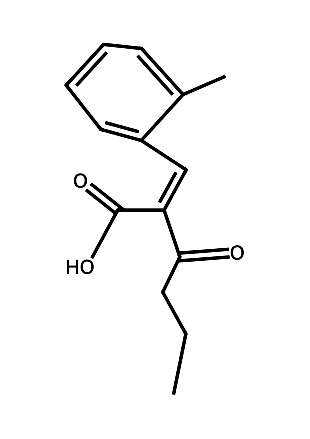 CCCC(=O)C(=Cc1ccccc1C)C(=O)O